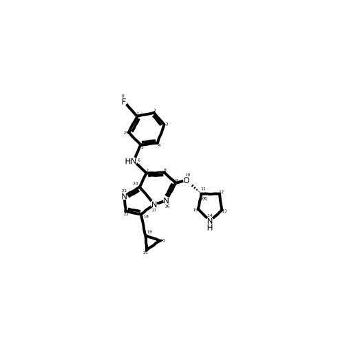 Fc1cccc(Nc2cc(O[C@@H]3CCNC3)nn3c(C4CC4)cnc23)c1